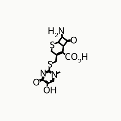 Cn1cc(O)c(=O)nc1SCC1=C(C(=O)O)C2C(=O)C(N)C2SC1